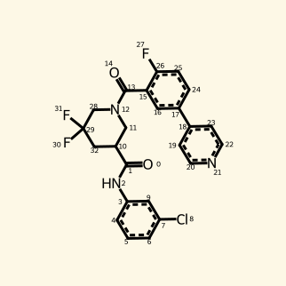 O=C(Nc1cccc(Cl)c1)C1CN(C(=O)c2cc(-c3ccncc3)ccc2F)CC(F)(F)C1